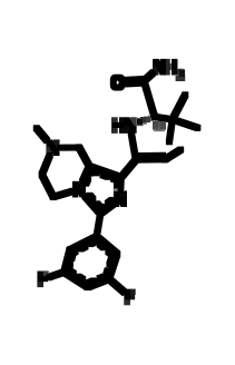 CC=C(N[C@H](C(N)=O)C(C)(C)C)c1nc(-c2cc(F)cc(F)c2)n2c1CN(C)CC2